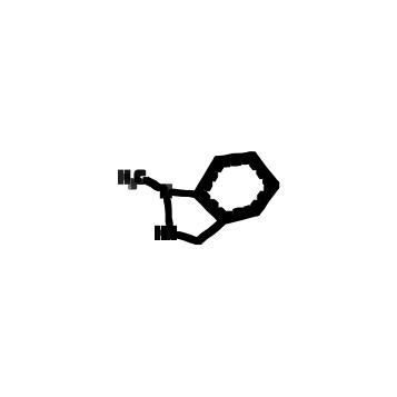 CN1NCc2ccccc21